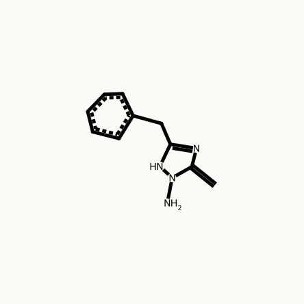 C=C1N=C(Cc2ccccc2)NN1N